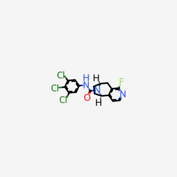 O=C(Nc1cc(Cl)c(Cl)c(Cl)c1)N1[C@H]2CC[C@@H]1c1ccnc(F)c1C2